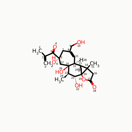 C=C(C)C(=O)[C@@]1(O)CC(CO)=C[C@H]2[C@@H]3C4(C)CC(=O)O[C@@]34[C@H](O)[C@@H](C)[C@]2(O)C1